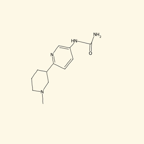 CN1CCCC(c2ccc(NC(N)=O)cn2)C1